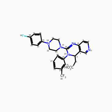 O=C(O)CC1c2cnccc2N=C(N2CCN(c3ccc(F)cc3)CC2)N1c1cccc(C(F)(F)F)c1